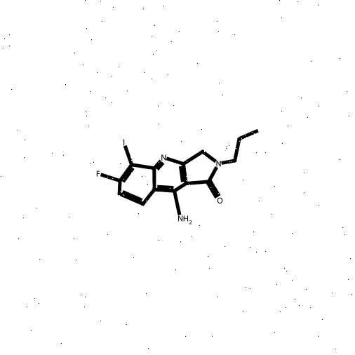 CCCN1Cc2nc3c(I)c(F)ccc3c(N)c2C1=O